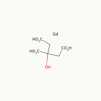 O=C(O)CC(O)(CC(=O)O)C(=O)O.[Gd]